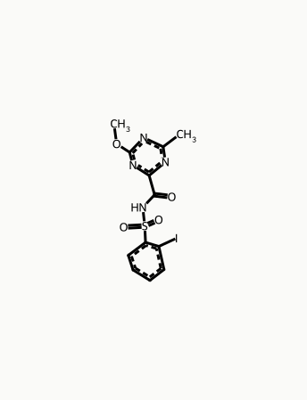 COc1nc(C)nc(C(=O)NS(=O)(=O)c2ccccc2I)n1